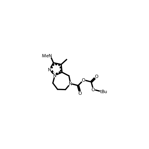 CNc1nn2c(c1C)CN(C(=O)OC(=O)OC(C)(C)C)CCC2